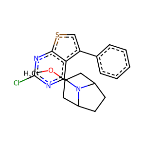 COC1CC2CCC(C1)N2c1nc(Cl)nc2scc(-c3ccccc3)c12